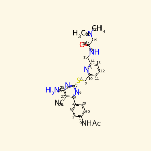 CC(=O)Nc1ccc(-c2nc(SCc3cccc(CNC(=O)CN(C)C)n3)nc(N)c2C#N)cc1